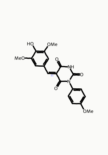 COc1ccc(N2C(=O)NC(=O)/C(=C\c3cc(OC)c(O)c(OC)c3)C2=O)cc1